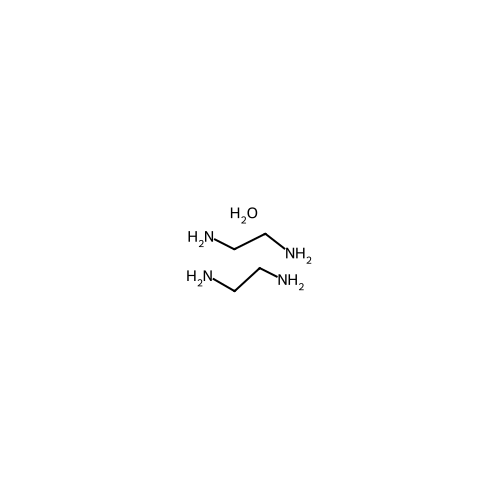 NCCN.NCCN.O